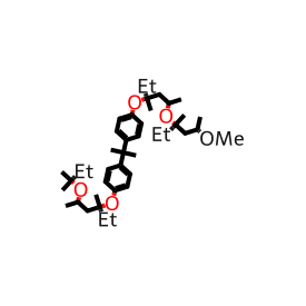 CCC(C)(C)OC(C)CC(C)(CC)Oc1ccc(C(C)(C)c2ccc(OC(C)(CC)CC(C)OC(C)(CC)CC(C)OC)cc2)cc1